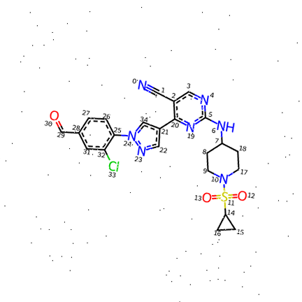 N#Cc1cnc(NC2CCN(S(=O)(=O)C3CC3)CC2)nc1-c1cnn(-c2ccc(C=O)cc2Cl)c1